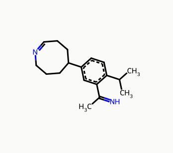 CC(=N)c1cc(C2CC/C=N\CCC2)ccc1C(C)C